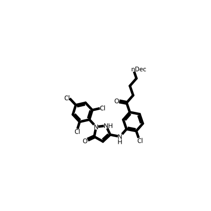 CCCCCCCCCCCCCC(=O)c1ccc(Cl)c(Nc2cc(=O)n(-c3c(Cl)cc(Cl)cc3Cl)[nH]2)c1